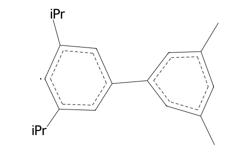 Cc1cc(C)cc(-c2cc(C(C)C)[c]c(C(C)C)c2)c1